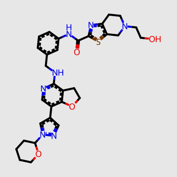 O=C(Nc1cccc(CNc2ncc(-c3cnn(C4CCCCO4)c3)c3c2CCO3)c1)c1nc2c(s1)CN(CCO)CC2